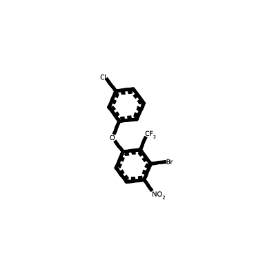 O=[N+]([O-])c1ccc(Oc2cccc(Cl)c2)c(C(F)(F)F)c1Br